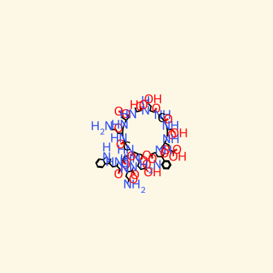 CCC(=O)NC(CC1=CNC2C=CC=CC12)C(=O)NC(CC(N)=O)C(=O)NC(CC(=O)O)C(=O)NC1C(=O)NCC(=O)NC(CCCN)C(=O)NC(CC=O)C(=O)NC(C)C(=O)NC(CC(O)O)C(=O)NCC(=O)NC(CO)C(=O)NC(CCC(=O)O)C(=O)NC(CC(=O)c2ccccc2N)C(=O)OC1C